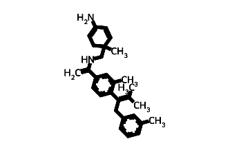 C=C(NCC1(C)C=CC(N)=CC1)c1ccc(C(Cc2cccc(C)c2)=C(C)C)c(C)c1